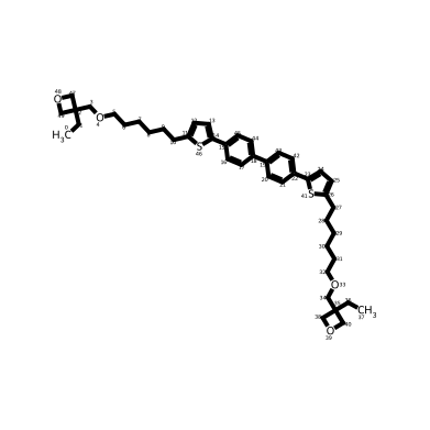 CCC1(COCCCCCCc2ccc(-c3ccc(-c4ccc(-c5ccc(CCCCCCOCC6(CC)COC6)s5)cc4)cc3)s2)COC1